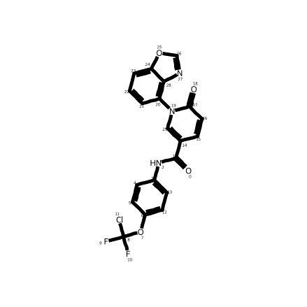 O=C(Nc1ccc(OC(F)(F)Cl)cc1)c1ccc(=O)n(-c2cccc3ocnc23)c1